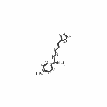 NC(=NN=C/C=C/c1ccco1)c1ccc(O)cc1